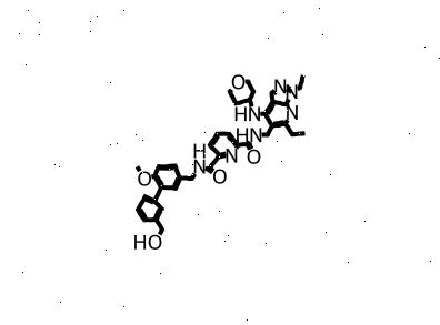 CCc1nc2c(cnn2CC)c(NC2CCOCC2)c1CNC(=O)c1cccc(C(=O)NCc2ccc(OC)c(-c3cccc(CO)c3)c2)n1